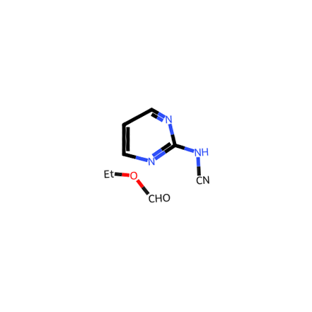 CCOC=O.N#CNc1ncccn1